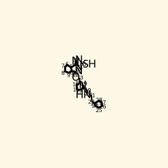 Sc1nnc2c3ccccc3c(OCc3cccc(CNCCc4ccccc4)n3)nn12